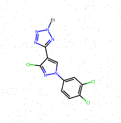 CCn1nnc(-c2cn(-c3ccc(Cl)c(Cl)c3)nc2Cl)n1